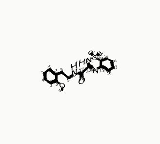 COc1ccccc1CCNC(=O)C1=Nc2ccccc2S(=O)(=O)N1